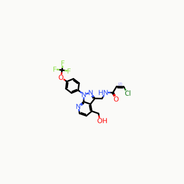 O=C(/C=C\Cl)NCc1nn(-c2ccc(OC(F)(F)F)cc2)c2nccc(CO)c12